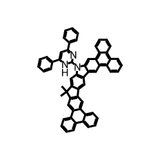 CC1(C)c2cc3c4ccccc4c4ccccc4c3cc2-c2cc3c4cc5c6ccccc6c6ccccc6c5cc4n(C4N=C(c5ccccc5)C=C(c5ccccc5)N4)c3cc21